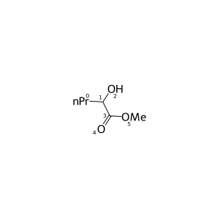 [CH2]CCC(O)C(=O)OC